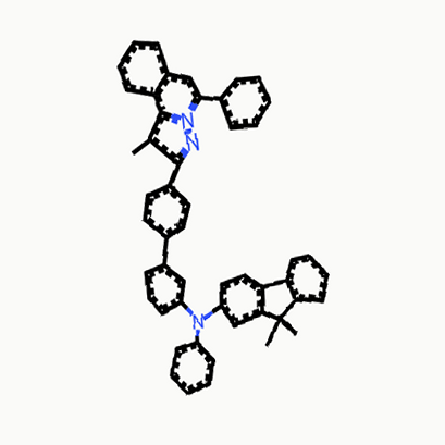 Cc1c(-c2ccc(-c3cccc(N(c4ccccc4)c4ccc5c(c4)C(C)(C)c4ccccc4-5)c3)cc2)nn2c(-c3ccccc3)cc3ccccc3c12